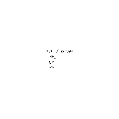 [NH4+].[NH4+].[O-2].[O-2].[O-2].[O-2].[W+6]